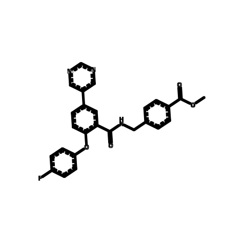 COC(=O)c1ccc(CNC(=O)c2cc(-c3cncnc3)ccc2Oc2ccc(F)cc2)cc1